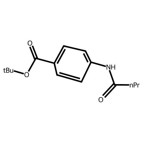 CCCC(=O)Nc1ccc(C(=O)OC(C)(C)C)cc1